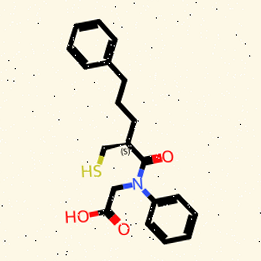 O=C(O)CN(C(=O)[C@@H](CS)CCCc1ccccc1)c1ccccc1